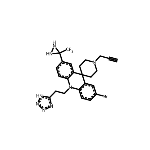 C#CCN1CCC2(CC1)c1cc(Br)ccc1N(CCc1nnn[nH]1)c1ccc(C3(C(F)(F)F)NN3)cc12